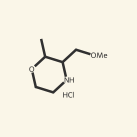 COCC1NCCOC1C.Cl